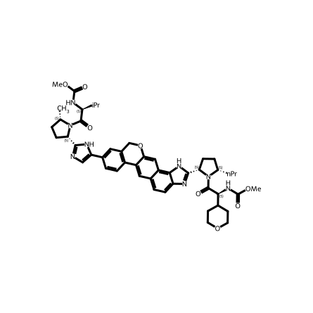 CCC[C@H]1CC[C@@H](c2nc3ccc4cc5c(cc4c3[nH]2)OCc2cc(-c3cnc([C@@H]4CC[C@H](C)N4C(=O)[C@@H](NC(=O)OC)C(C)C)[nH]3)ccc2-5)N1C(=O)[C@@H](NC(=O)OC)C1CCOCC1